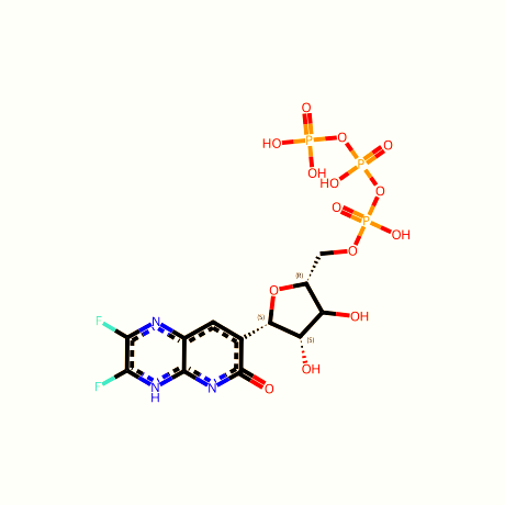 O=c1nc2[nH]c(F)c(F)nc-2cc1[C@@H]1O[C@H](COP(=O)(O)OP(=O)(O)OP(=O)(O)O)C(O)[C@@H]1O